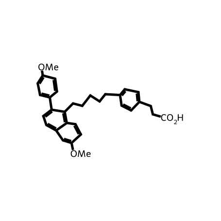 COc1ccc(-c2ccc3cc(OC)ccc3c2CCCCCc2ccc(CCC(=O)O)cc2)cc1